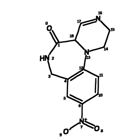 O=C1NCc2cc([N+](=O)[O-])ccc2N2CCN=CC12